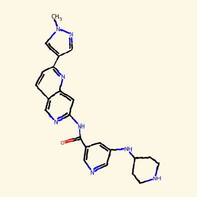 Cn1cc(-c2ccc3cnc(NC(=O)c4cncc(NC5CCNCC5)c4)cc3n2)cn1